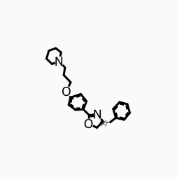 c1ccc(C[C@@H]2COC(c3ccc(OCCCN4CCCCC4)cc3)=N2)cc1